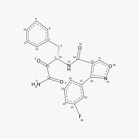 NC(=O)C(=O)[C@H](Cc1ccccc1)NC(=O)c1conc1-c1cccc(F)c1